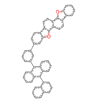 c1cc(-c2ccc3c(c2)oc2c3ccc3c2ccc2c4ccccc4oc23)cc(-c2c3ccccc3c(-c3cccc4ccccc34)c3ccccc23)c1